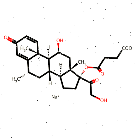 C[C@H]1C[C@@H]2[C@H]([C@@H](O)C[C@@]3(C)[C@H]2CC[C@]3(OC(=O)CCC(=O)[O-])C(=O)CO)[C@@]2(C)C=CC(=O)C=C12.[Na+]